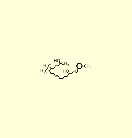 C=C(O)CCC[C@H](C)[C@H](C)/C=C/C=C/C=C\C=C\[C@H](O)CCOc1cccc(C)c1